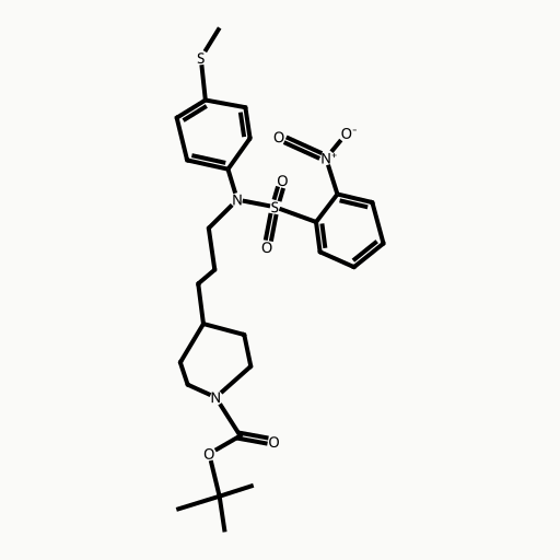 CSc1ccc(N(CCCC2CCN(C(=O)OC(C)(C)C)CC2)S(=O)(=O)c2ccccc2[N+](=O)[O-])cc1